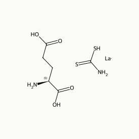 NC(=S)S.N[C@@H](CCC(=O)O)C(=O)O.[La]